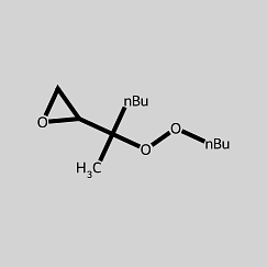 CCCCOOC(C)(CCCC)C1CO1